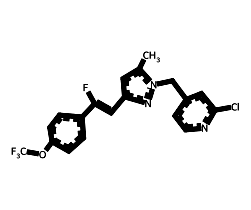 Cc1cc(C=C(F)c2ccc(OC(F)(F)F)cc2)nn1Cc1ccnc(Cl)c1